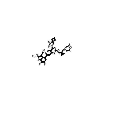 C[C@@H]1CN(CC2(COc3nc(NCC4(N(C)C)CCC4)c4cnc(C5=CC(F)=C(F)C6SC(N)=C(C#N)C56)cc4n3)CC2)C[C@@H](C)O1